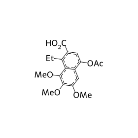 CCc1c(C(=O)O)cc(OC(C)=O)c2cc(OC)c(OC)c(OC)c12